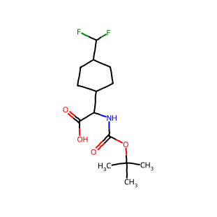 CC(C)(C)OC(=O)NC(C(=O)O)C1CCC(C(F)F)CC1